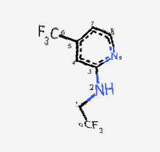 FC(F)(F)CNc1cc(C(F)(F)F)ccn1